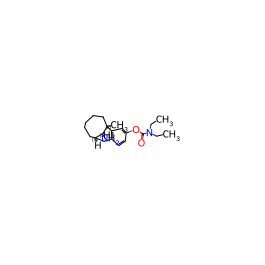 CCN(CC)C(=O)Oc1ccc2c(c1)[C@@]1(C)CCCCC[C@@H](C2)[C@@H]1N